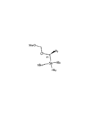 CCC[CH2][Sn]([CH2]CCC)([CH2]CCC)[C@@H](OCOC)C(C)C